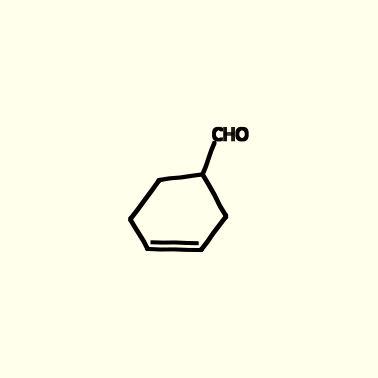 O=CC1CC=CCC1